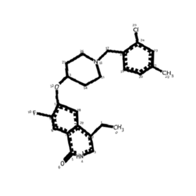 CCc1c[nH]c(=O)c2cc(F)c(OC3CCN(Cc4ccc(C)cc4Cl)CC3)cc12